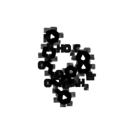 NC(=O)C1(C(=O)N[C@H](Cc2ccccc2)C(=O)NCCC(=O)N2CCN(c3ccccn3)CC2)CCCC1.O=C(O)c1ccc2cc(Br)ccc2c1